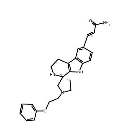 NC(=O)/C=C/c1ccc2[nH]c3c(c2c1)CCN[C@@]31CCN(CCOc2ccccc2)C1